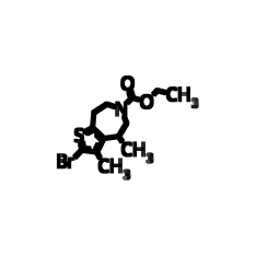 CCOC(=O)N1CCc2sc(Br)c(C)c2C(C)C1